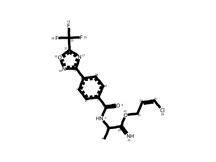 CC(NC(=O)c1ccc(-c2noc(C(F)(F)F)n2)cc1)C(=N)OC/C=C\Cl